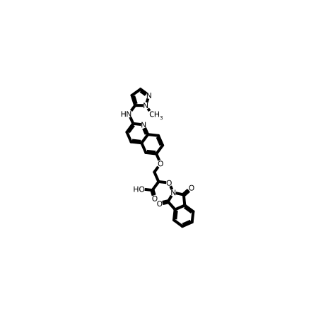 Cn1nccc1Nc1ccc2cc(OCC(ON3C(=O)c4ccccc4C3=O)C(=O)O)ccc2n1